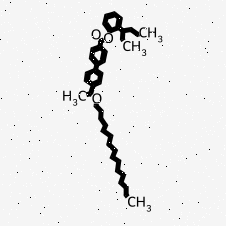 CCCCCCCCCCCCCCCCOC(C)c1ccc(-c2ccc(C(=O)Oc3ccccc3C(CC)CCC)cc2)cc1